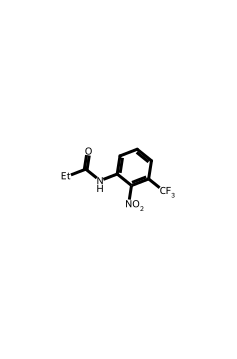 CCC(=O)Nc1cccc(C(F)(F)F)c1[N+](=O)[O-]